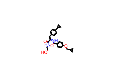 O=C(NCCO)/C(=C/c1ccc(C2CC2)cc1)NC(=O)c1ccc(OCC2CC2)cc1